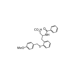 COc1ccc(CSc2ccccc2CC(CC(=O)O)NC(=O)c2ccccc2)cc1